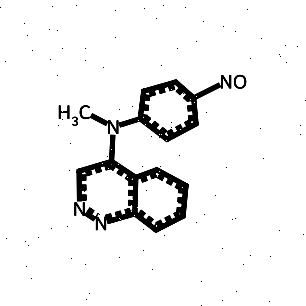 CN(c1ccc(N=O)cc1)c1cnnc2ccccc12